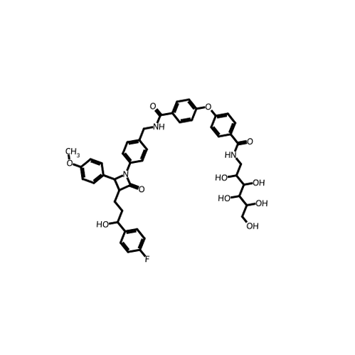 COc1ccc(C2C(CCC(O)c3ccc(F)cc3)C(=O)N2c2ccc(CNC(=O)c3ccc(Oc4ccc(C(=O)NCC(O)C(O)C(O)C(O)CO)cc4)cc3)cc2)cc1